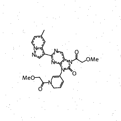 COCC(=O)N1C=C(n2c(=O)n(C(=O)COC)c3cnc(-c4cnn5ccc(C)cc45)nc32)C=CC1